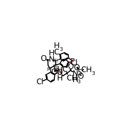 Cc1ccc(F)cc1[C@@H]1NC(=O)C[C@H](c2cc(Cl)ccc2OCC(C)(C)C(=O)NS(C)(=O)=O)[C@@]12C(=O)Nc1cc(Cl)ccc12